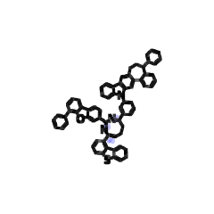 C1=C(c2cccc3sc4ccccc4c23)/N=C(c2ccc3c(c2)oc2c(-c4ccccc4)cccc23)\N=C(\c2cccc(-n3c4ccccc4c4cc5c(cc43)-c3ccccc3C(c3ccccc3)CC5)c2)CC\1